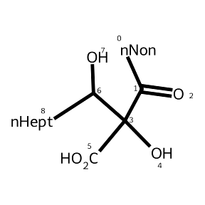 CCCCCCCCCC(=O)C(O)(C(=O)O)C(O)CCCCCCC